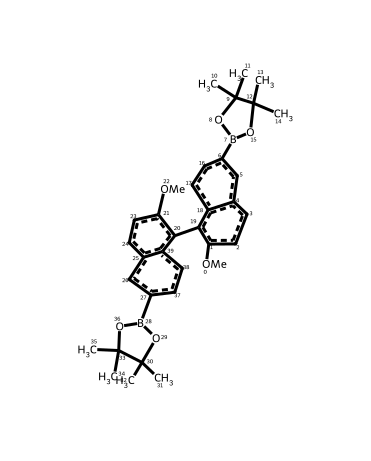 COc1ccc2cc(B3OC(C)(C)C(C)(C)O3)ccc2c1-c1c(OC)ccc2cc(B3OC(C)(C)C(C)(C)O3)ccc12